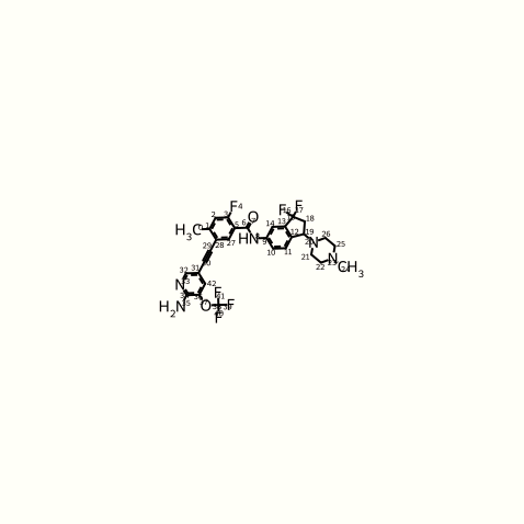 Cc1cc(F)c(C(=O)Nc2ccc3c(c2)C(F)(F)CC3N2CCN(C)CC2)cc1C#Cc1cnc(N)c(OC(F)(F)F)c1